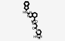 O=C(Cc1nnc(C2CCCc3nc(NC4Cc5ccccc5C4)ncc32)o1)N1CCc2nn[nH]c2C1